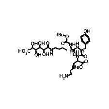 COC(=O)C(CCCCN)NC(=O)[C@H](Cc1ccc(O)cc1)NC(=O)[C@H](CCCCNC(=O)C(O)C(O)C(O)C(O)C(=O)O)NC(=O)OC(C)(C)C